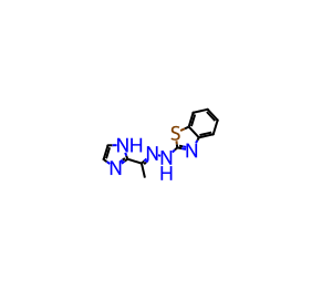 C/C(=N\Nc1nc2ccccc2s1)c1ncc[nH]1